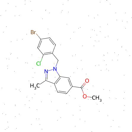 COC(=O)c1ccc2c(C)nn(Cc3ccc(Br)cc3Cl)c2c1